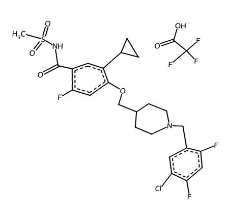 CS(=O)(=O)NC(=O)c1cc(C2CC2)c(OCC2CCN(Cc3cc(Cl)c(F)cc3F)CC2)cc1F.O=C(O)C(F)(F)F